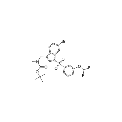 CN(Cc1cn(S(=O)(=O)c2cccc(OC(F)F)c2)c2cc(Br)ccc12)C(=O)OC(C)(C)C